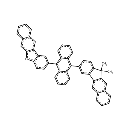 CC1(C)c2ccc(-c3c4ccccc4c(-c4ccc5oc6cc7ccccc7cc6c5c4)c4ccccc34)cc2-c2cc3ccccc3cc21